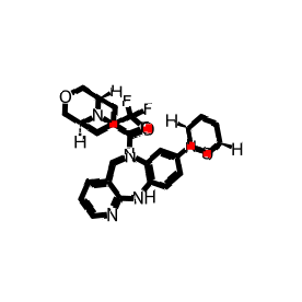 O=C(C1C[C@H]2COC[C@H](C1)N2CC(F)(F)F)N1Cc2cccnc2Nc2ccc(N3C[C@H]4CC[C@@H]3CO4)cc21